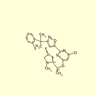 C[C@H](Oc1cc(Cl)nc(-c2cc(C(C)(C)c3ccccc3F)no2)n1)[C@@H]1C[C@H](F)CN1C